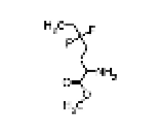 CCC(F)(F)CCC(N)C(=O)OC